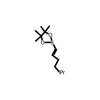 CC(C)CCC=CB1OC(C)(C)C(C)(C)O1